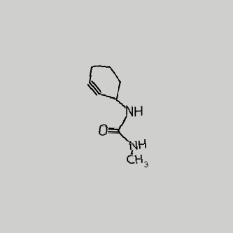 CNC(=O)NC1C#CCCC1